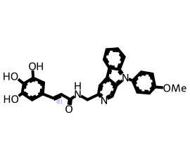 COc1ccc(-n2c3ccccc3c3cc(CNC(=O)/C=C/c4cc(O)c(O)c(O)c4)ncc32)cc1